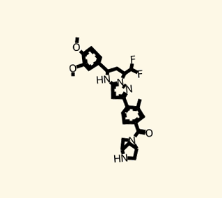 COc1ccc(C2CC(C(F)F)n3nc(-c4ccc(C(=O)N5CC6CC5CN6)cc4C)cc3N2)cc1OC